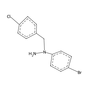 NN(Cc1ccc(Cl)cc1)c1ccc(Br)cc1